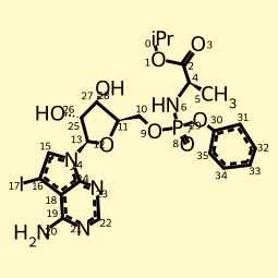 CC(C)OC(=O)[C@@H](C)NP(=O)(OC[C@H]1O[C@@H](n2cc(I)c3c(N)ncnc32)[C@H](O)[C@@H]1O)Oc1ccccc1